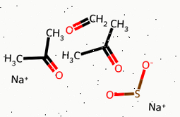 C=O.CC(C)=O.CC(C)=O.[Na+].[Na+].[O-]S[O-]